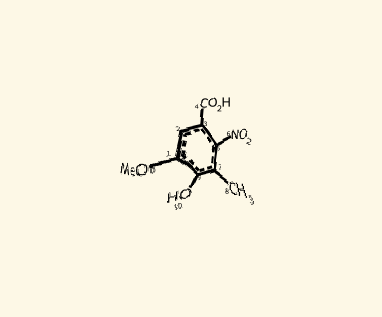 COc1cc(C(=O)O)c([N+](=O)[O-])c(C)c1O